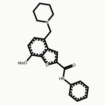 COc1ccc(CN2CCCCC2)c2cc(C(=O)Nc3ccccc3)oc12